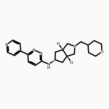 c1cc(-c2ccc(N[C@H]3C[C@@H]4CN(CC5CCOCC5)C[C@@H]4C3)nn2)ccn1